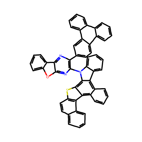 c1ccc2c(c1)ccc1sc3c(c4ccccc4c4c5ccccc5n(-c5nc6oc7ccccc7c6nc5-c5ccc6c7ccccc7c7ccccc7c6c5)c34)c12